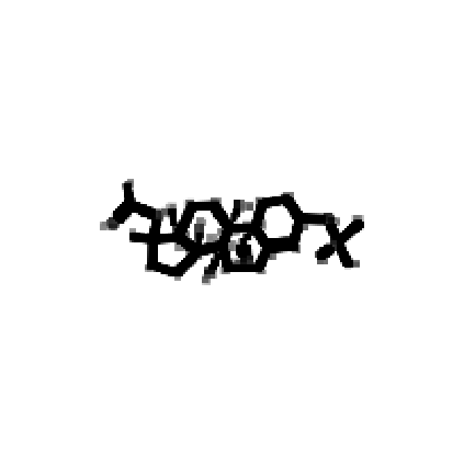 CC(=O)OC1(C)CC[C@H]2[C@@H]3CCC4=CC(O[Si](C)(C)C)CC[C@]4(C=O)[C@@H]3CC[C@@]21C